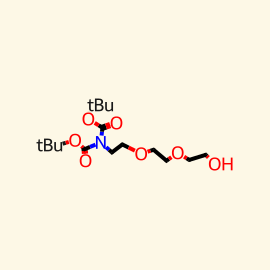 CC(C)(C)OC(=O)N(CCOCCOCCO)C(=O)OC(C)(C)C